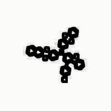 Clc1ccc(-c2cc(N(c3ccc4c(c3)Oc3ccccc3O4)c3ccc4c(c3)Oc3cc5ccccc5cc3O4)cc3oc4ccccc4c23)cc1